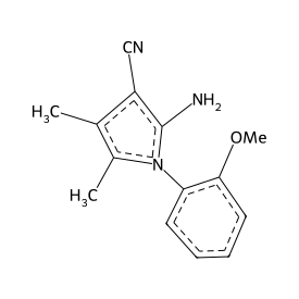 COc1ccccc1-n1c(C)c(C)c(C#N)c1N